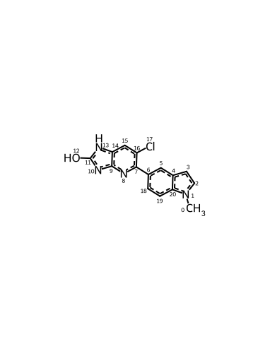 Cn1ccc2cc(-c3nc4nc(O)[nH]c4cc3Cl)ccc21